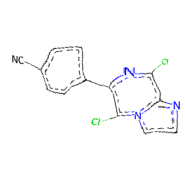 N#Cc1ccc(-c2nc(Cl)c3nccn3c2Cl)cc1